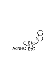 CCC(CC)(C(=O)OCc1ccc2ccccc2n1)C(=O)ONC(C)=O